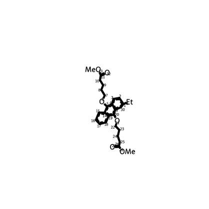 CCc1ccc2c(OCCCCC(=O)OC)c3ccccc3c(OCCCCC(=O)OC)c2c1